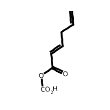 C=CCC=CC(=O)OC(=O)O